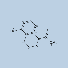 COC(=O)C1CCCc2c(O)cccc21